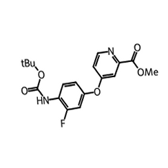 COC(=O)c1cc(Oc2ccc(NC(=O)OC(C)(C)C)c(F)c2)ccn1